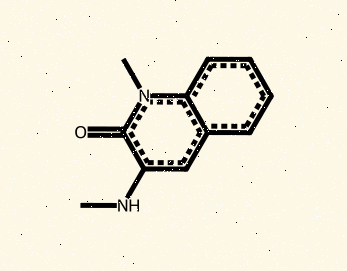 CNc1cc2ccccc2n(C)c1=O